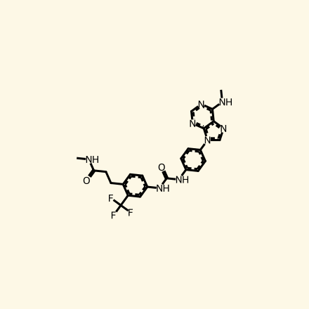 CNC(=O)CCc1ccc(NC(=O)Nc2ccc(-n3cnc4c(NC)ncnc43)cc2)cc1C(F)(F)F